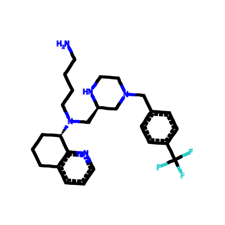 NCCCCN(C[C@@H]1CN(Cc2ccc(C(F)(F)F)cc2)CCN1)[C@H]1CCCc2cccnc21